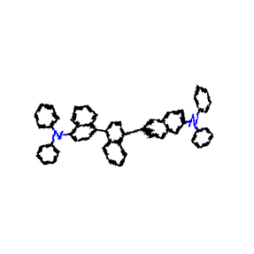 c1ccc(N(c2ccccc2)c2ccc3cc(-c4ccc(-c5ccc(N(c6ccccc6)c6ccccc6)c6ccccc56)c5ccccc45)ccc3c2)cc1